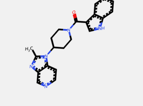 Cc1nc2cnccc2n1C1CCN(C(=O)c2c[nH]c3ccccc23)CC1